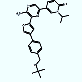 CC(C)n1cc(-c2cnc(N)c(-c3cc(-c4ccc(CNC(C)(C)C)cc4)no3)n2)ccc1=O